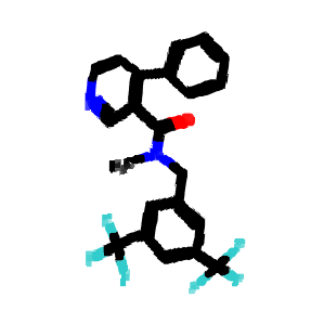 CN(Cc1cc(C(F)(F)F)cc(C(F)(F)F)c1)C(=O)c1cnccc1-c1ccccc1